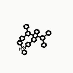 c1ccc(-c2cc(-c3ccccc3)cc(-c3c4ccccc4c(-c4cc(-c5ccccc5)cc(-c5ccccc5)c4)c4cc(-c5ccc(-n6c(-c7ccccc7)nc7ccccc76)cc5)ccc34)c2)cc1